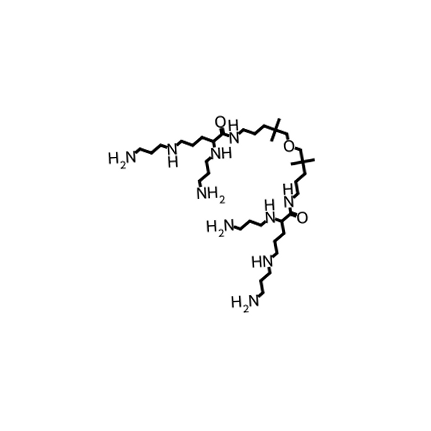 CC(C)(CCCNC(=O)C(CCCNCCCN)NCCCN)COCC(C)(C)CCCNC(=O)C(CCCNCCCN)NCCCN